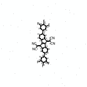 N#CC(C#N)=C1C2=C(C(=C(C#N)C#N)c3cc(-c4cc(F)c(F)c(F)c4)ccc32)c2ccc(-c3cc(F)c(F)c(F)c3)cc21